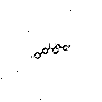 Cn1cc(-c2cnc3c(Nc4ccc(C5CCNCC5)cc4)nccn23)cn1